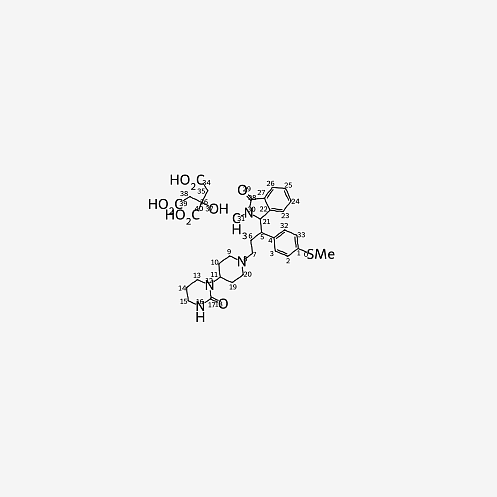 CSc1ccc(C(CCN2CCC(N3CCCNC3=O)CC2)C2c3ccccc3C(=O)N2C)cc1.O=C(O)CC(O)(CC(=O)O)C(=O)O